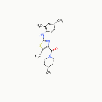 Cc1ccc(Nc2nc(C(=O)N3CCC(C)CC3)c(C)s2)c(C)c1